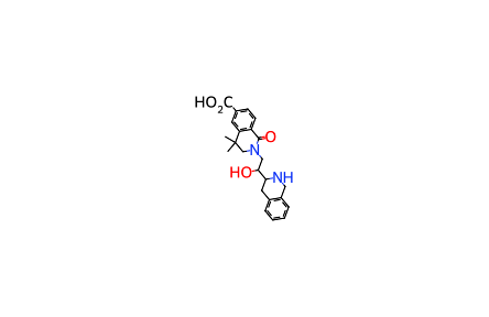 CC1(C)CN(CC(O)C2Cc3ccccc3CN2)C(=O)c2ccc(C(=O)O)cc21